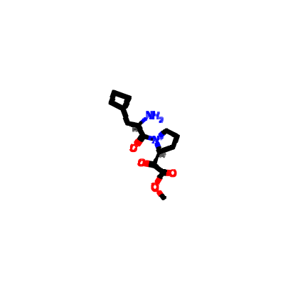 COC(=O)C(=O)[C@@H]1CCC[N+]1C(=O)[C@H](N)CC1CCC1